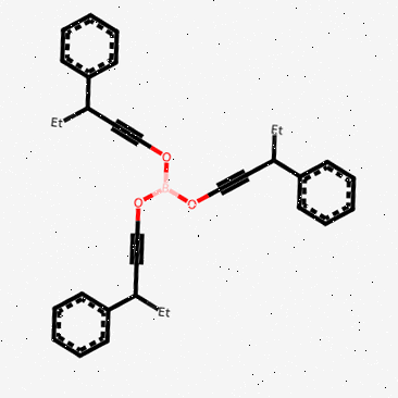 CCC(C#COB(OC#CC(CC)c1ccccc1)OC#CC(CC)c1ccccc1)c1ccccc1